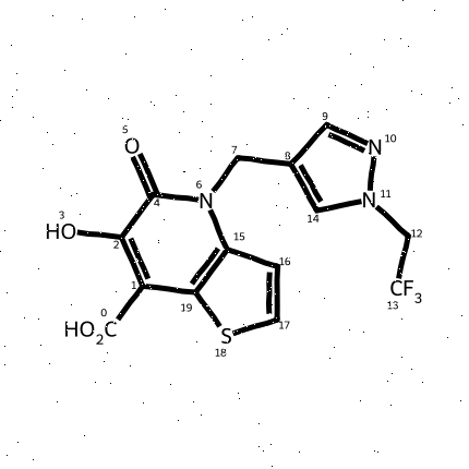 O=C(O)c1c(O)c(=O)n(Cc2cnn(CC(F)(F)F)c2)c2ccsc12